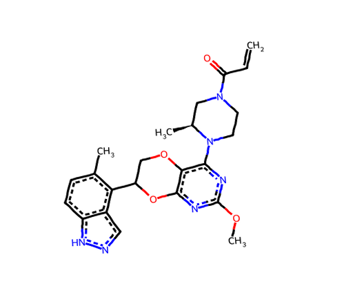 C=CC(=O)N1CCN(c2nc(OC)nc3c2OCC(c2c(C)ccc4[nH]ncc24)O3)[C@@H](C)C1